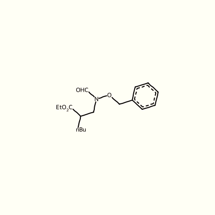 CCCCC(CN(C=O)OCc1ccccc1)C(=O)OCC